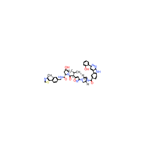 Cc1ncsc1-c1ccc(CNC(=O)[C@@H]2C[C@@H](O)CN2C(=O)[C@H](c2cc(N3C[C@@H]4C[C@H]3CN4C(=O)c3ccc4[nH]c5nnc(-c6ccccc6O)cc5c4c3)no2)C(C)C)cc1